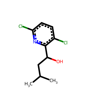 CC(C)CC(O)c1nc(Cl)ccc1Cl